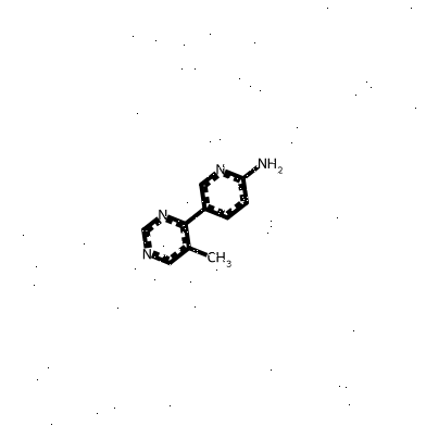 Cc1cncnc1-c1ccc(N)nc1